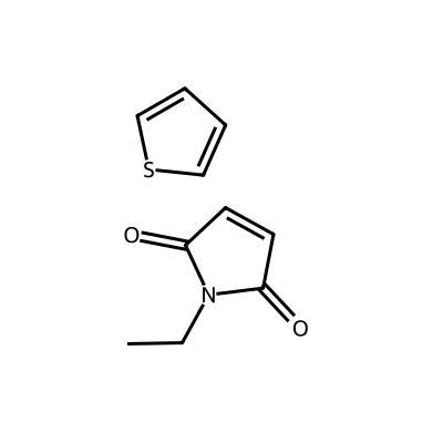 CCN1C(=O)C=CC1=O.c1ccsc1